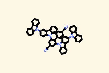 Cc1cc(C#N)ccc1-c1c(-n2c3ccccc3c3cc(-n4c5ccccc5c5ccccc54)ccc32)cc(C#N)cc1-n1c2ccccc2c2cc(-n3c4ccccc4c4ccccc43)ccc21